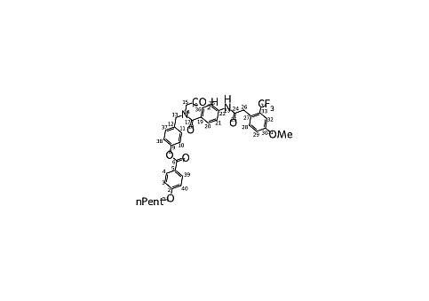 CCCCCOc1ccc(C(=O)Oc2ccc(CN(CC(=O)O)C(=O)c3ccc(NC(=O)Cc4ccc(OC)cc4C(F)(F)F)cc3)cc2)cc1